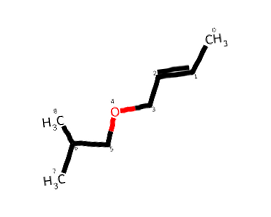 CC=CCOCC(C)C